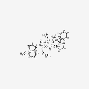 CC[C@H]1O[C@@H](n2cnc3c(C)ncnc32)C(OC)[C@H]1O[P@]1O[C@@](C)(c2ccccc2)[C@H]2CCCN21